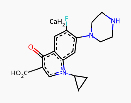 O=C(O)c1cn(C2CC2)c2cc(N3CCNCC3)c(F)cc2c1=O.[CaH2]